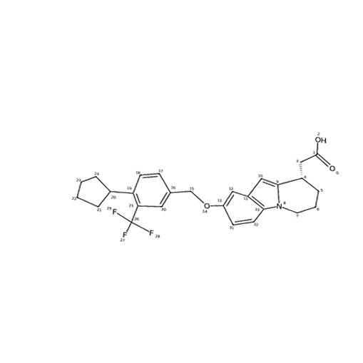 O=C(O)C[C@@H]1CCCn2c1cc1cc(OCc3ccc(C4CCCC4)c(C(F)(F)F)c3)ccc12